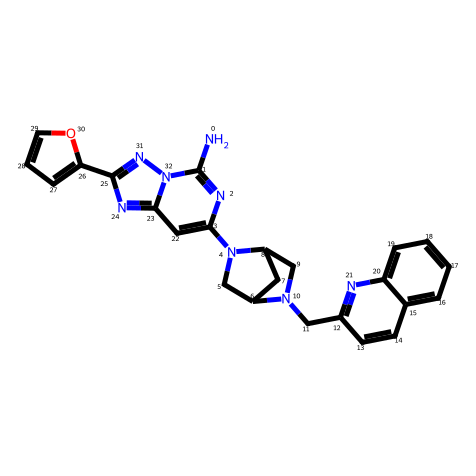 Nc1nc(N2CC3CC2CN3Cc2ccc3ccccc3n2)cc2nc(-c3ccco3)nn12